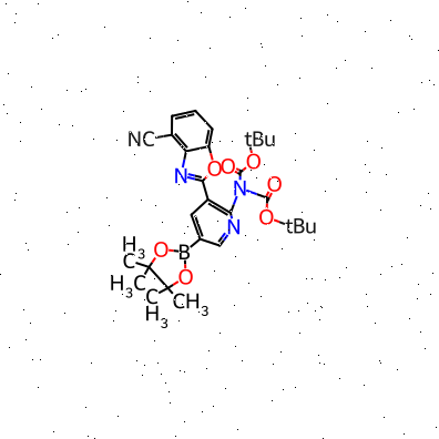 CC(C)(C)OC(=O)N(C(=O)OC(C)(C)C)c1ncc(B2OC(C)(C)C(C)(C)O2)cc1-c1nc2c(C#N)cccc2o1